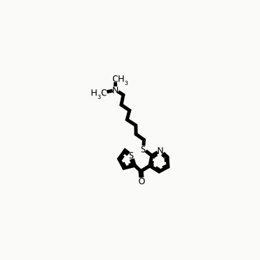 CN(C)CCCCCCCSc1ncccc1C(=O)c1cccs1